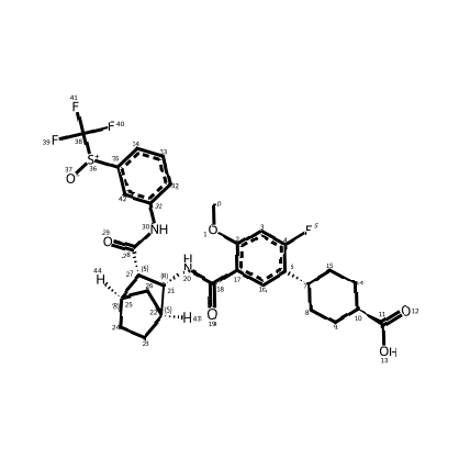 COc1cc(F)c([C@H]2CC[C@H](C(=O)O)CC2)cc1C(=O)N[C@@H]1[C@H]2CC[C@H](C2)[C@@H]1C(=O)Nc1cccc([S+]([O-])C(F)(F)F)c1